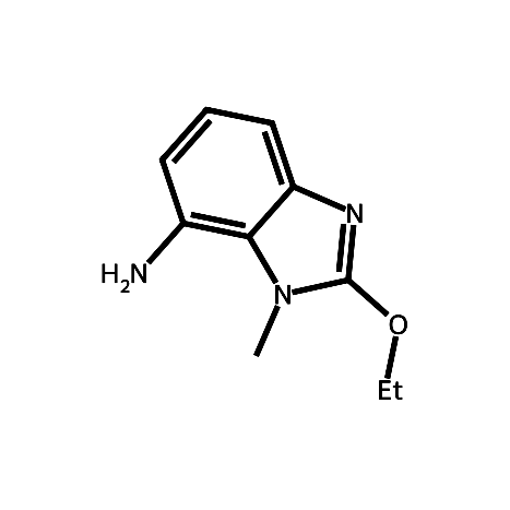 CCOc1nc2cccc(N)c2n1C